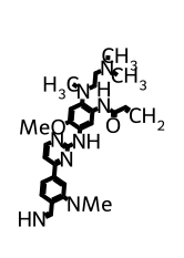 C=CC(=O)Nc1cc(Nc2nccc(-c3ccc(C=N)c(NC)c3)n2)c(OC)cc1N(C)CCN(C)C